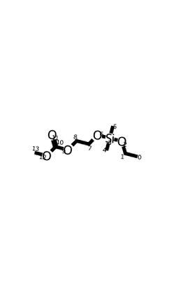 CCO[Si](C)(C)OCCOC(=O)OC